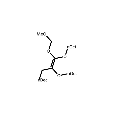 CCCCCCCCCCCC(OCCCCCCCC)=C(OCCCCCCCC)OCOC